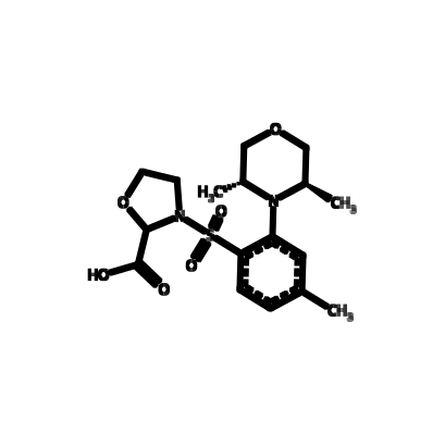 Cc1ccc(S(=O)(=O)N2CCOC2C(=O)O)c(N2[C@H](C)COC[C@H]2C)c1